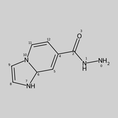 NNC(=O)C1=CC2NC=CN2C=C1